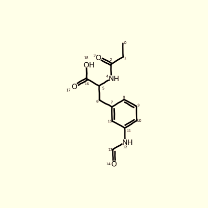 CCC(=O)NC(Cc1cccc(NC=O)c1)C(=O)O